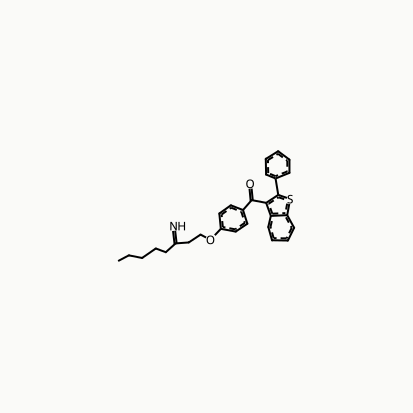 CCCCCC(=N)CCOc1ccc(C(=O)c2c(-c3ccccc3)sc3ccccc23)cc1